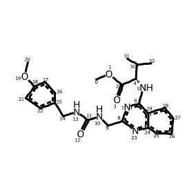 COC(=O)[C@@H](Nc1nc(CNC(=O)NCc2ccc(OC)cc2)nc2ccccc12)C(C)C